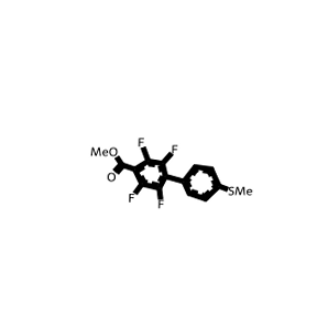 COC(=O)c1c(F)c(F)c(-c2ccc(SC)cc2)c(F)c1F